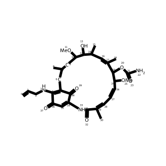 C=CCNC1=C2CC(C)CC(OC)C(O)C(C)C=C(C)C(OC(N)=O)C(OC)C=CC=C(C)C(=O)NC(=CC1=O)C2=O